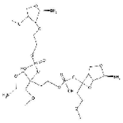 B[C@@H]1OCC(OC)C1OCCOP(=O)(O)OC1(CCOP(=O)(O)OC2(CCOC)OC3C2CO[C@H]3B)CO[C@@H](B)C1OC